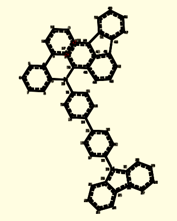 c1ccc(-c2ccccc2N(c2ccc(-c3ccc(-n4c5ccccc5c5ccccc54)cc3)cc2)c2ccc3c4c(cccc24)-c2ccccc2-3)cc1